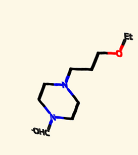 CCOCCCN1CCN([C]=O)CC1